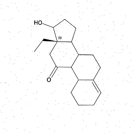 CC[C@]12CC(=O)C3C4CCCC=C4CCC3C1CCC2O